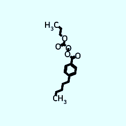 CCCCCc1ccc(C(=O)OOC(=O)OCCC)cc1